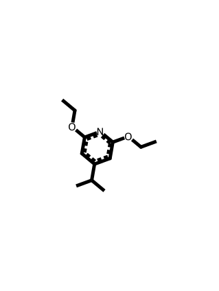 CCOc1cc(C(C)C)cc(OCC)n1